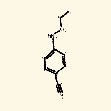 CCONc1ccc(C#N)cc1